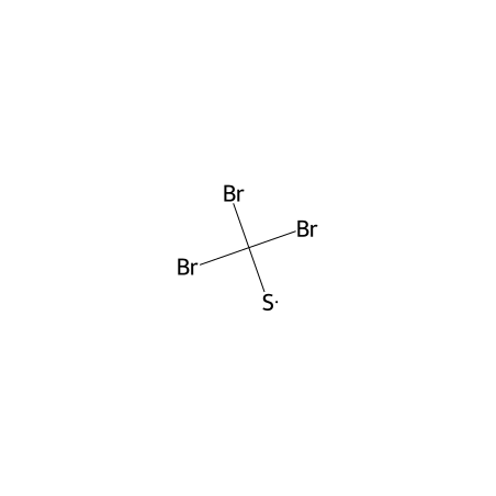 [S]C(Br)(Br)Br